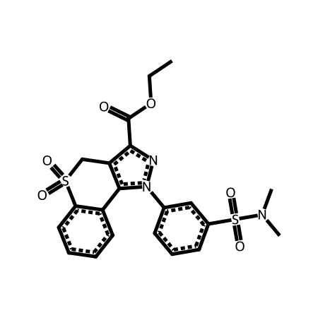 CCOC(=O)c1nn(-c2cccc(S(=O)(=O)N(C)C)c2)c2c1CS(=O)(=O)c1ccccc1-2